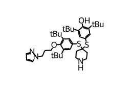 CC(C)(C)c1cc(SC2(Sc3cc(C(C)(C)C)c(OCCCn4cccn4)c(C(C)(C)C)c3)CCNCC2)cc(C(C)(C)C)c1O